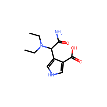 CCN(CC)C(C(N)=O)c1c[nH]cc1C(=O)O